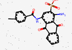 Cc1ccc(C(=O)Nc2cc(S(=O)(=O)O)c(N)c3c2C(=O)c2ccccc2C3=O)cc1